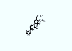 CC(=O)OCC1CC(n2ccc(-n3cncn3)nc2=O)C(F)(F)C1OC(C)=O